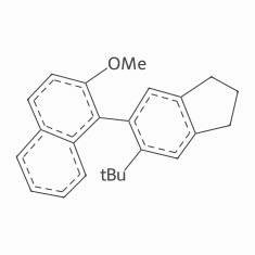 COc1ccc2ccccc2c1-c1cc2c(cc1C(C)(C)C)CCC2